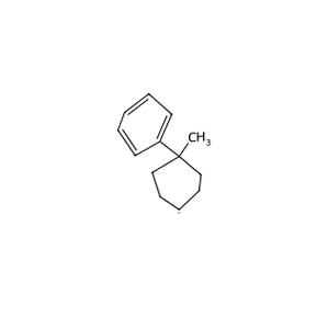 CC1(c2ccccc2)CC[CH]CC1